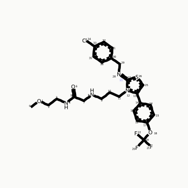 COCCNC(=O)CNCCCn1c(-c2ccc(OC(F)(F)F)cc2)cs/c1=N\Cc1ccc(Cl)cc1